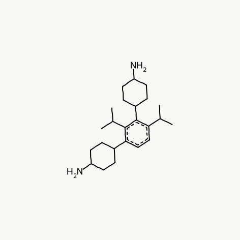 CC(C)c1ccc(C2CCC(N)CC2)c(C(C)C)c1C1CCC(N)CC1